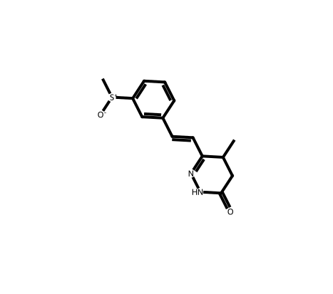 CC1CC(=O)NN=C1C=Cc1cccc([S+](C)[O-])c1